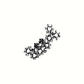 c1ccc(-n2c3ccccc3c3cc(-c4ccc5c(c4)C4(c6ccccc6S5)c5cccnc5-c5ncc(-n6c7ccccc7c7ccccc76)cc54)ccc32)cc1